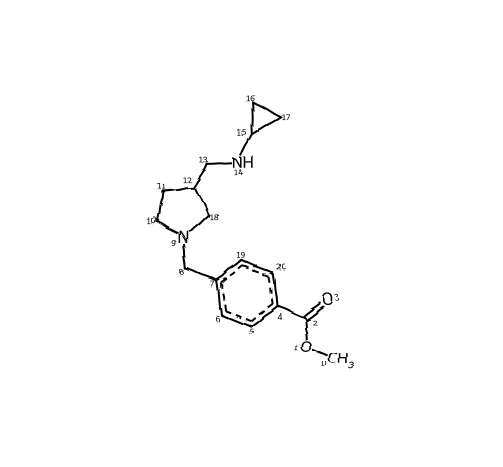 COC(=O)c1ccc(CN2CCC(CNC3CC3)C2)cc1